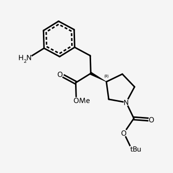 COC(=O)C(Cc1cccc(N)c1)[C@H]1CCN(C(=O)OC(C)(C)C)C1